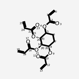 C=CC(=O)OC1CC[C@@H](OC(=O)C=C)[C@@H](OC(=O)C=C)[C@@H]1OC(=O)C=C